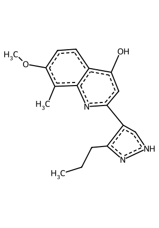 CCCc1n[nH]cc1-c1cc(O)c2ccc(OC)c(C)c2n1